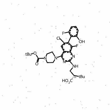 CC(C)(C)OC(=O)N1CCN(c2nc(NC[C@@H](C(=O)O)C(C)(C)C)nc3c(F)c(-c4c(O)cccc4F)c(Cl)cc23)CC1